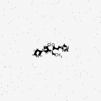 CCN(C(=O)CCn1cnnn1)c1cn(-c2cccnc2)nc1Cl